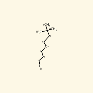 CC(C)(C)CCOCCC[O]